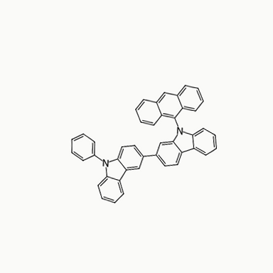 c1ccc(-n2c3ccccc3c3cc(-c4ccc5c6ccccc6n(-c6c7ccccc7cc7ccccc67)c5c4)ccc32)cc1